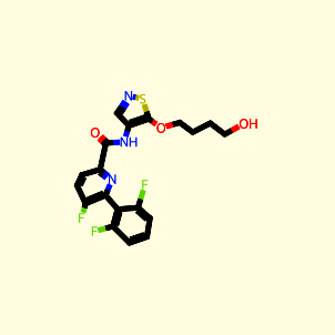 O=C(Nc1cnsc1OCCCCO)c1ccc(F)c(-c2c(F)cccc2F)n1